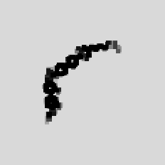 CCCCCC1COC(C2CCC(C3CCC(C(F)(F)Oc4ccc(-c5ccc(OCF)c(F)c5)c(F)c4)CC3)CC2)OC1